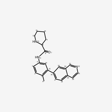 Cc1ccc(NC(=O)C2CCCCN2)cc1-c1ccc2ccncc2c1